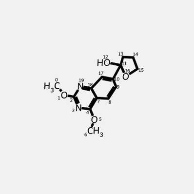 COc1nc(OC)c2ccc(C3(O)CCCO3)cc2n1